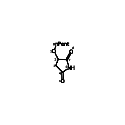 CCCCCOC1CC(=O)NC1=O